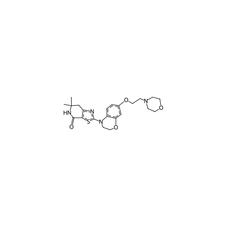 CC1(C)Cc2nc(N3CCOc4cc(OCCN5CCOCC5)ccc43)sc2C(=O)N1